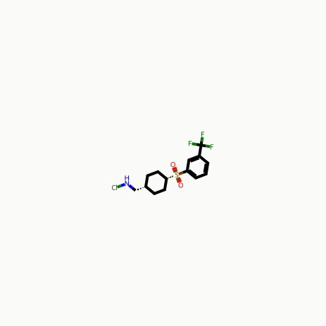 O=S(=O)(c1cccc(C(F)(F)F)c1)[C@H]1CC[C@@H](CNCl)CC1